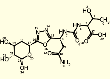 CC(O)C(NC(=O)N[C@@H](CC(N)=O)c1nnc([C@@H]2C[C@H](O)[C@@H](O)[C@H](O)O2)o1)C(=O)O